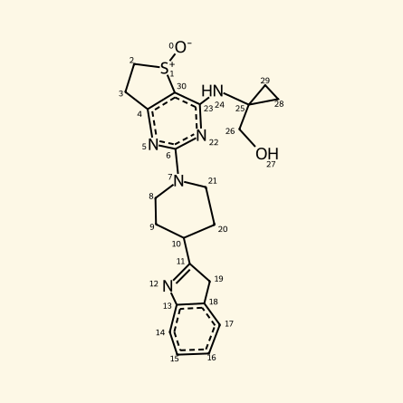 [O-][S+]1CCc2nc(N3CCC(C4=Nc5ccccc5C4)CC3)nc(NC3(CO)CC3)c21